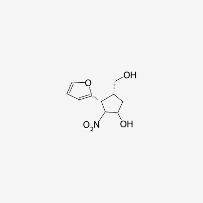 O=[N+]([O-])C1C(O)C[C@@H](CO)[C@H]1c1ccco1